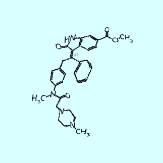 COC(=O)c1ccc2c(c1)NC(=O)/C2=C(\Cc1ccc(N(C)C(=O)CN2CCN(C)CC2)cc1)c1ccccc1